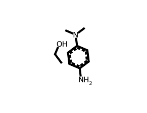 CCO.CN(C)c1ccc(N)cc1